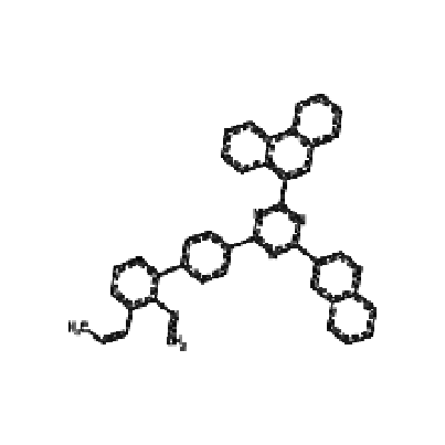 C=Nc1c(/C=C\C)cccc1-c1ccc(-c2nc(-c3ccc4ccccc4c3)nc(-c3cc4ccccc4c4ccccc34)n2)cc1